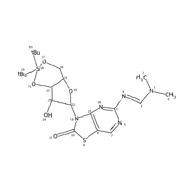 CN(C)C=Nc1ncc2sc(=O)n(C3OC4CO[Si](C(C)(C)C)(C(C)(C)C)OC4C3O)c2n1